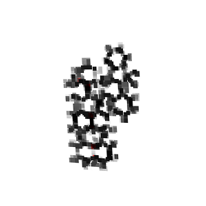 CC1(C)c2ccccc2-c2c(-c3ccccc3)c(N(c3ccc(-c4ccccc4)cc3)c3ccccc3-c3ccc(-c4ccccc4)cc3)c3ccccc3c21